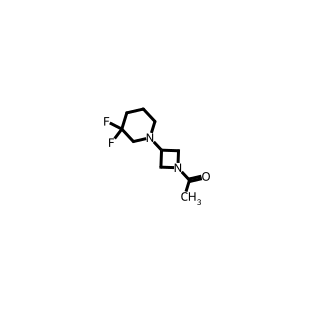 CC(=O)N1CC(N2CCCC(F)(F)C2)C1